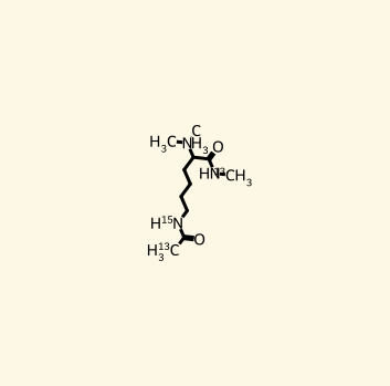 CN(C)C(CCCC[15NH]C([13CH3])=O)C(=O)N[13CH3]